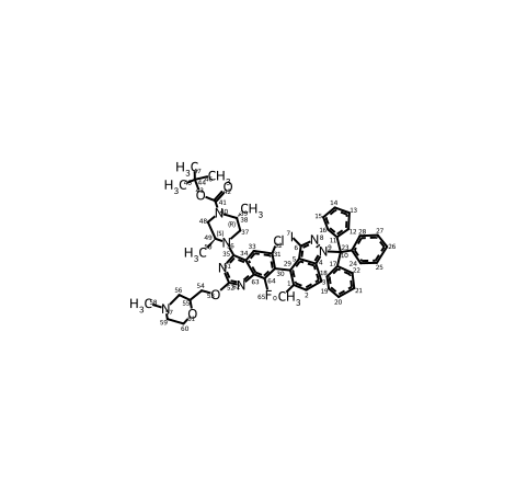 Cc1ccc2c(c(I)nn2C(c2ccccc2)(c2ccccc2)c2ccccc2)c1-c1c(Cl)cc2c(N3C[C@@H](C)N(C(=O)OC(C)(C)C)C[C@@H]3C)nc(OCC3CN(C)CCO3)nc2c1F